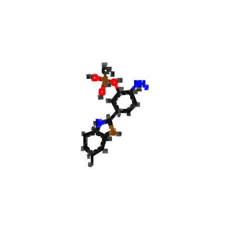 Cc1ccc2nc(-c3ccc(N)c(OS(=O)(=O)C(F)(F)F)c3)sc2c1